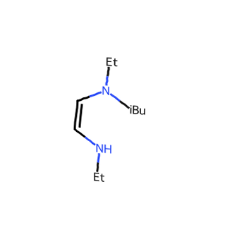 CCN/C=C\N(CC)C(C)CC